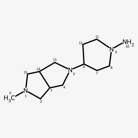 CN1CC2CN(C3CCN(N)CC3)CC2C1